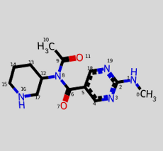 CNc1ncc(C(=O)N(C(C)=O)C2CCCNC2)cn1